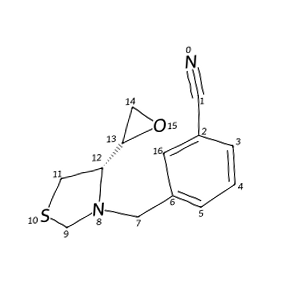 N#Cc1cccc(CN2CSC[C@@H]2C2CO2)c1